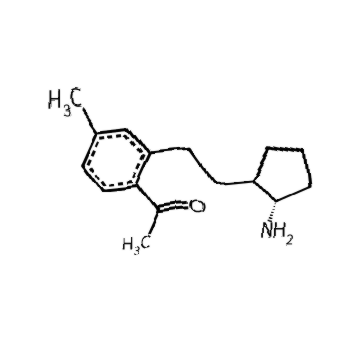 CC(=O)c1ccc(C)cc1CCC1CCC[C@@H]1N